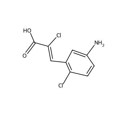 Nc1ccc(Cl)c(C=C(Cl)C(=O)O)c1